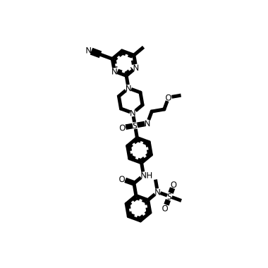 COCCN=S(=O)(c1ccc(NC(=O)c2ccccc2N(C)S(C)(=O)=O)cc1)N1CCN(c2nc(C)cc(C#N)n2)CC1